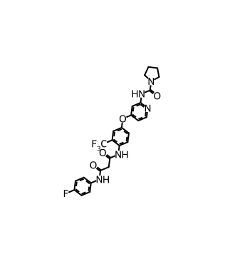 O=C(CC(=O)Nc1ccc(Oc2ccnc(NC(=O)N3CCCC3)c2)cc1C(F)(F)F)Nc1ccc(F)cc1